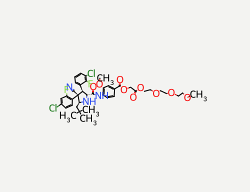 COCCOCCOCCOC(=O)COC(=O)c1ccc(NC(=O)[C@@H]2N[C@@H](CC(C)(C)C)[C@](C#N)(c3ccc(Cl)cc3F)[C@H]2c2cccc(Cl)c2F)c(OC)c1